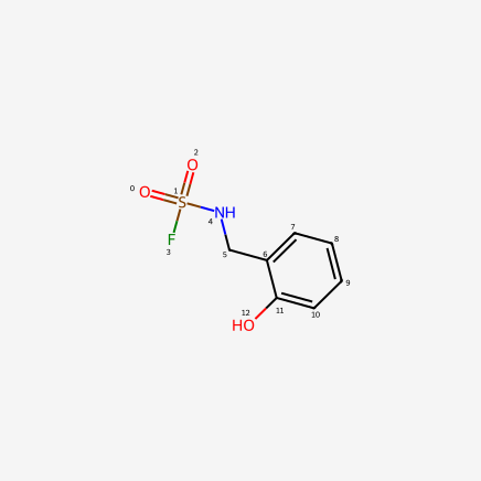 O=S(=O)(F)NCc1ccccc1O